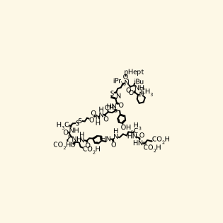 CCCCCCCOCN(C(=O)C(NC(=O)C1CCCCN1C)C(C)CC)[C@H](CCc1nc(C(=O)N[C@@H](Cc2ccc(O)cc2)CC(C)C(=O)NNC(=O)OCCSSC[C@@H](C)NC(=O)[C@H](CC(=O)O)NC(=O)C(CC(=O)O)NC(=O)Cc2ccc(CNC(=O)NCCCC[C@@H](C)NC(=O)N[C@@H](CCC(=O)O)C(=O)O)cc2)cs1)C(C)C